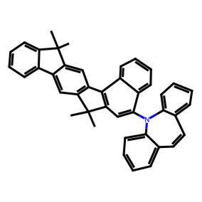 CC1(C)c2ccccc2-c2cc3c(cc21)-c1c(cc(N2c4ccccc4C=Cc4ccccc42)c2ccccc12)C3(C)C